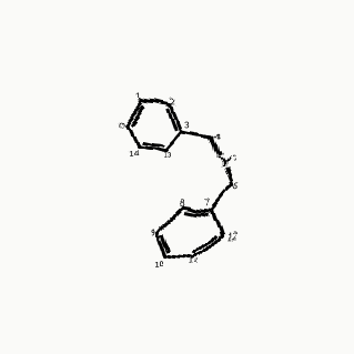 c1ccc([CH2][Y][CH2]c2ccccc2)cc1